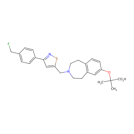 CC(C)(Oc1ccc2c(c1)CCN(Cc1cc(-c3ccc(CF)cc3)ns1)CC2)C(=O)O